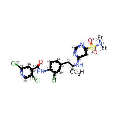 CCN(CC)S(=O)(=O)c1cc(N[C@@H](Cc2ccc(NC(=O)c3cc(Cl)ncc3Cl)c(Cl)c2)C(=O)O)ncn1